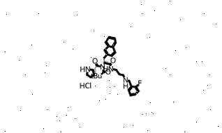 CC(C)(C)C(=O)N(C(=O)[C@@H]1CCCN1)[C@H](Cc1ccc2ccccc2c1)C(=O)NCCCNCc1ccccc1F.Cl